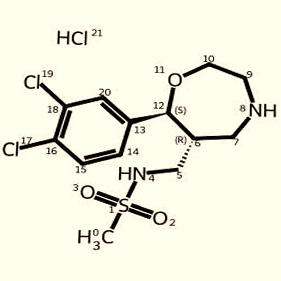 CS(=O)(=O)NC[C@H]1CNCCO[C@@H]1c1ccc(Cl)c(Cl)c1.Cl